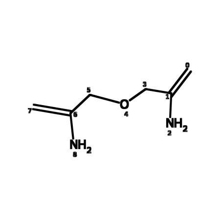 C=C(N)COCC(=C)N